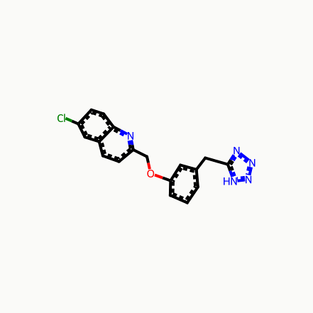 Clc1ccc2nc(COc3cccc(Cc4nnn[nH]4)c3)ccc2c1